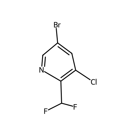 FC(F)c1ncc(Br)cc1Cl